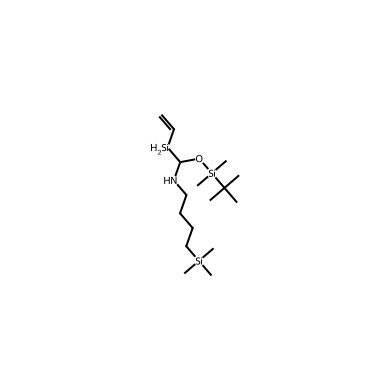 C=C[SiH2]C(NCCCC[Si](C)(C)C)O[Si](C)(C)C(C)(C)C